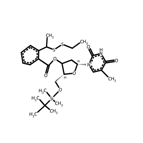 CCSSC(C)c1ccccc1C(=O)OC1C[C@H](n2cc(C)c(=O)[nH]c2=O)O[C@@H]1CO[Si](C)(C)C(C)(C)C